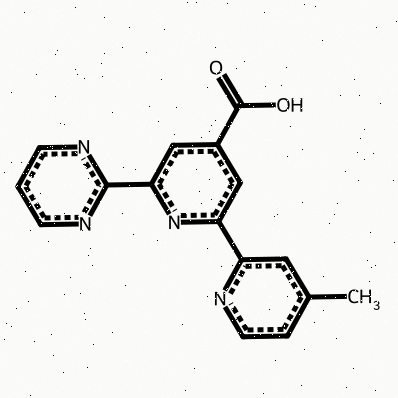 Cc1ccnc(-c2cc(C(=O)O)cc(-c3ncccn3)n2)c1